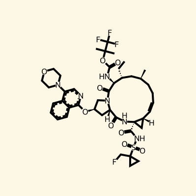 CC[C@@H]1C[C@@H](C)CC/C=C\[C@@H]2C[C@@]2(C(=O)NS(=O)(=O)C2(CF)CC2)NC(=O)[C@@H]2C[C@@H](Oc3ncc(N4CCOCC4)c4ccccc34)CN2C(=O)[C@H]1NC(=O)OC(C)(C)C(F)(F)F